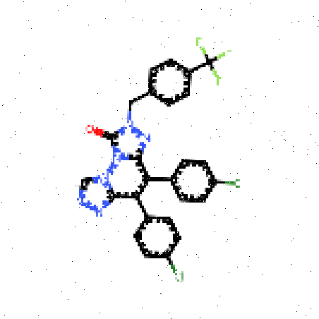 O=c1n(Cc2ccc(C(F)(F)F)cc2)nc2c(-c3ccc(Cl)cc3)c(-c3ccc(Cl)cc3)c3nncn3n12